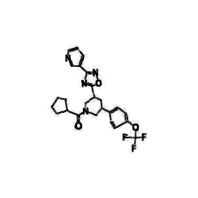 O=C(C1CCCC1)N1CC(c2ccc(OC(F)(F)F)cc2)CC(c2nc(-c3cccnc3)no2)C1